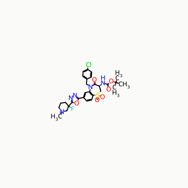 CN1CCCC(F)(c2nnc(-c3ccc4c(c3)N(Cc3ccc(Cl)cc3)C(=O)[C@@H](NC(=O)OC(C)(C)C)CS4(=O)=O)o2)C1